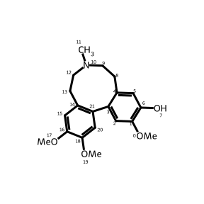 COc1cc2c(cc1O)CCN(C)CCc1cc(OC)c(OC)cc1-2